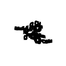 COc1ccc(CNC(=O)c2nc(SC)sc2NC(=O)c2ccccc2C)c(OC)c1